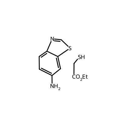 CCOC(=O)CS.Nc1ccc2ncsc2c1